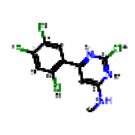 CNc1[c]c(-c2cc(F)c(F)cc2Cl)nc(Cl)n1